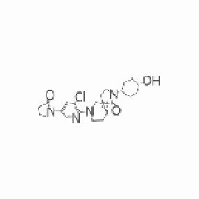 O=C1CCCN1c1cnc(N2CCC[C@]3(CCN([C@H]4CC[C@@H](O)CC4)C3=O)C2)c(Cl)c1